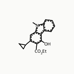 CCOC(=O)c1c(C2CC2)cc2c(c1O)c1ccccc1n2C